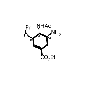 CCOC(=O)C1=C[C@@H](OC(C)C)[C@H](NC(C)=O)[C@@H](N)C1